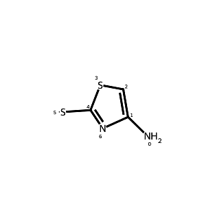 Nc1csc([S])n1